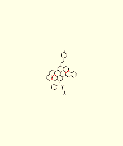 CC(C)=C/C=C(\C)N(c1ccccc1)c1cc(-c2ccc3ccccc3c2)c(-c2c(-c3ccc4ccccc4c3)cc(/C=C/c3ccc(C)cc3)c3ccccc23)c2ccccc12